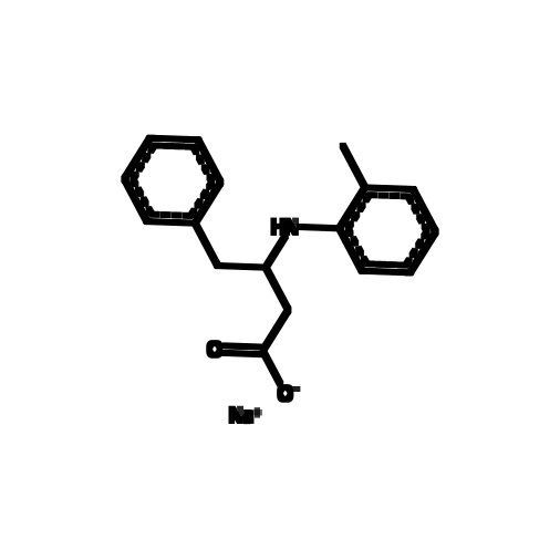 Cc1ccccc1NC(CC(=O)[O-])Cc1ccccc1.[Na+]